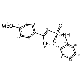 COc1ccc(C(=CS(=O)(=O)Nc2ccccc2)C(F)(F)F)cc1